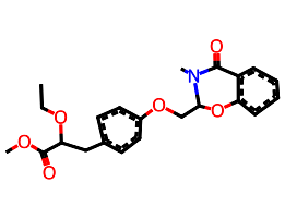 CCOC(Cc1ccc(OCC2Oc3ccccc3C(=O)N2C)cc1)C(=O)OC